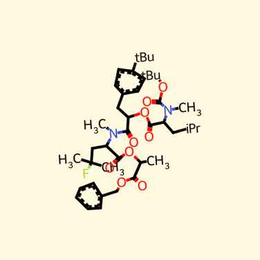 CC(C)CC(C(=O)OC(Cc1ccc(C(C)(C)C)cc1)C(=O)N(C)C(CC(C)(C)F)C(=O)OC(C)C(=O)OCc1ccccc1)N(C)C(=O)OC(C)(C)C